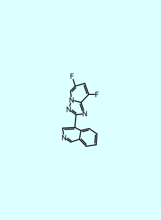 Fc1cc(F)c2nc(-c3cncc4ccccc34)nn2c1